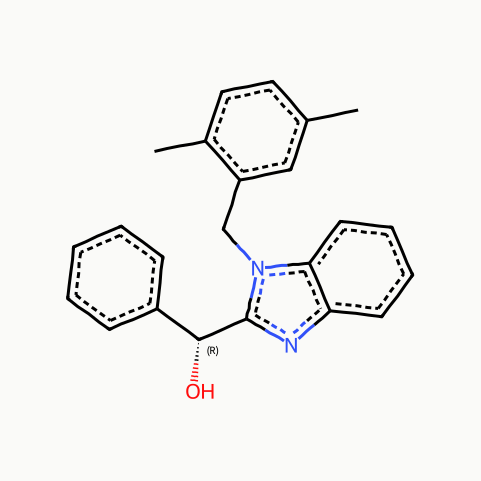 Cc1ccc(C)c(Cn2c([C@H](O)c3ccccc3)nc3ccccc32)c1